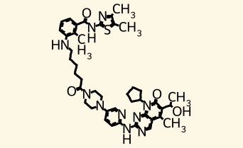 Cc1nc(NC(=O)c2cccc(NCCCCCC(=O)N3CCN(c4ccc(Nc5ncc6c(C)c(C(C)O)c(=O)n(C7CCCC7)c6n5)nc4)CC3)c2C)sc1C